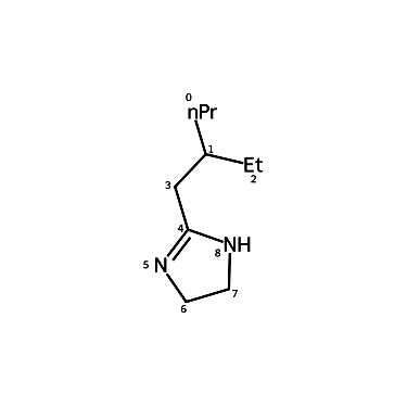 CCCC(CC)CC1=NCCN1